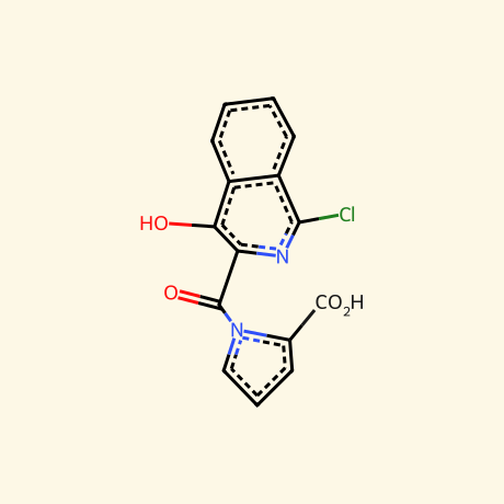 O=C(O)c1cccn1C(=O)c1nc(Cl)c2ccccc2c1O